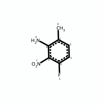 Cc1ccc(F)c([N+](=O)[O-])c1N